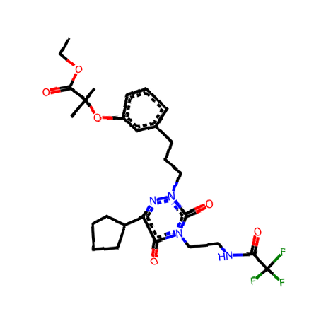 CCOC(=O)C(C)(C)Oc1cccc(CCCn2nc(C3CCCC3)c(=O)n(CCNC(=O)C(F)(F)F)c2=O)c1